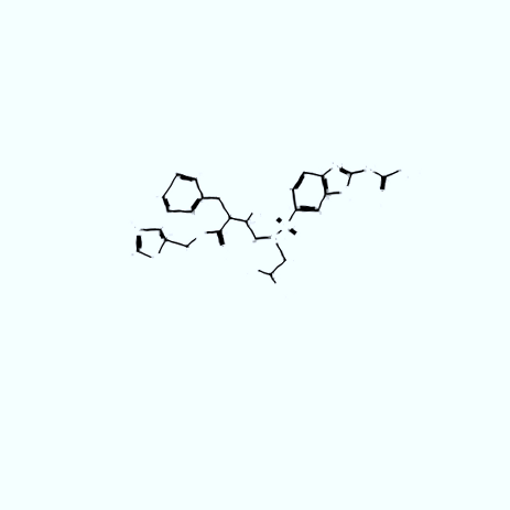 CC(=O)Nc1nc2ccc(S(=O)(=O)N(CC(C)C)CC(O)C(Cc3ccccc3)C(=O)OCc3cncs3)cc2o1